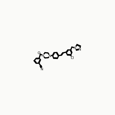 N#Cc1cccc(C(=O)N2CCN(c3ccc(/C=C/c4cc(Cl)cc(Cn5ccnc5)c4)cc3)CC2)c1